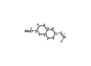 C/N=C\c1ccc2cc(OC)ccc2c1